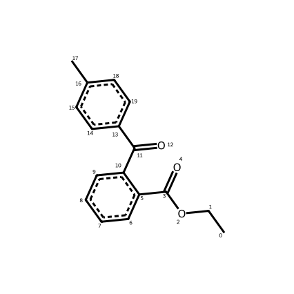 CCOC(=O)c1ccccc1C(=O)c1ccc(C)cc1